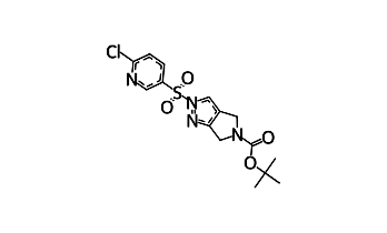 CC(C)(C)OC(=O)N1Cc2cn(S(=O)(=O)c3ccc(Cl)nc3)nc2C1